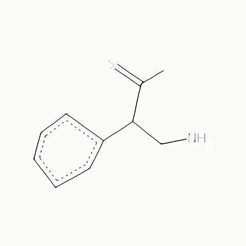 CC(=S)C(CN)c1ccccc1